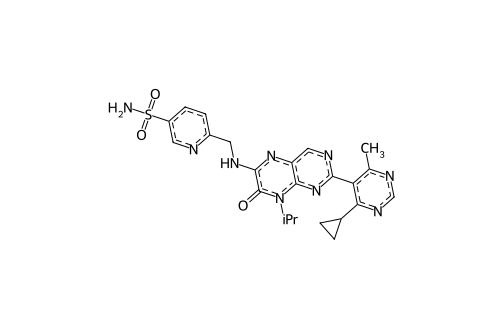 Cc1ncnc(C2CC2)c1-c1ncc2nc(NCc3ccc(S(N)(=O)=O)cn3)c(=O)n(C(C)C)c2n1